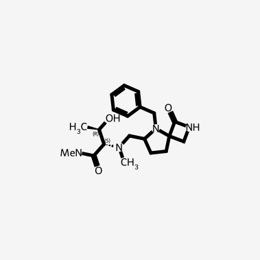 CNC(=O)[C@H]([C@@H](C)O)N(C)CC1CCC2(CNC2=O)N1Cc1ccccc1